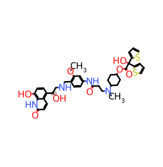 COc1cc(NC(=O)CCN(C)C2CCC(OC(=O)C(O)(c3cccs3)c3cccs3)CC2)ccc1CNC[C@@H](O)c1ccc(O)c2[nH]c(=O)ccc12